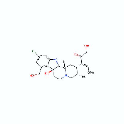 CC[C@@H]1CN2CC[C@@]3(O)C(=Nc4cc(Cl)cc(CO)c43)[C@@H]2C[C@@H]1/C(=C\OC)C(=O)CO